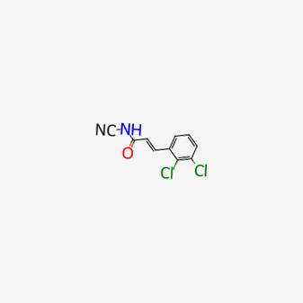 N#CNC(=O)C=Cc1cccc(Cl)c1Cl